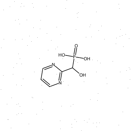 O=P(O)(O)C(O)c1ncccn1